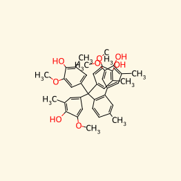 COc1cc(-c2cc(C)ccc2C(c2cc(C)c(O)c(OC)c2)(c2cc(C)c(O)c(OC)c2)c2cc(C)c(O)c(OC)c2)cc(C)c1O